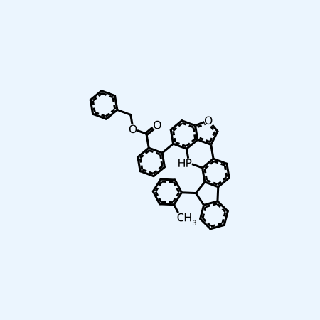 Cc1ccccc1C1c2ccccc2-c2ccc3c(c21)Pc1c(-c2ccccc2C(=O)OCc2ccccc2)ccc2occ-3c12